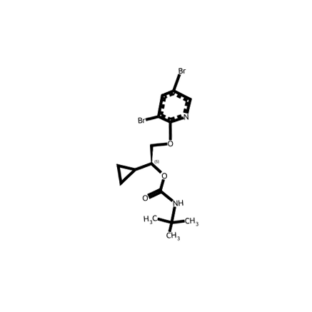 CC(C)(C)NC(=O)O[C@H](COc1ncc(Br)cc1Br)C1CC1